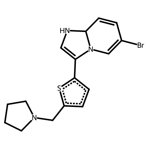 BrC1=CN2C(c3ccc(CN4CCCC4)s3)=CNC2C=C1